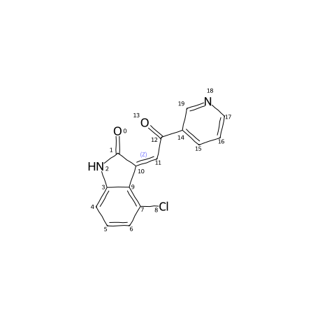 O=C1Nc2cccc(Cl)c2/C1=C/C(=O)c1cccnc1